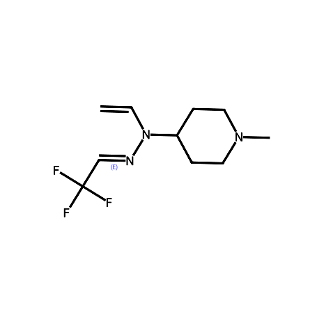 C=CN(/N=C/C(F)(F)F)C1CCN(C)CC1